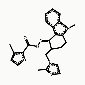 Cc1ccoc1C(=O)O/N=C1/c2c(n(C)c3ccccc23)CCC1Cn1ccnc1C